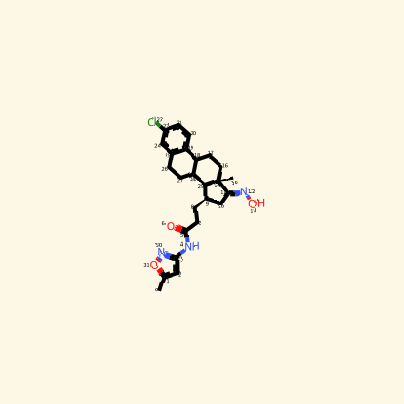 Cc1cc(NC(=O)CC[C@@H]2C/C(=N\O)[C@@]3(C)CCC4c5ccc(Cl)cc5CCC4C23)no1